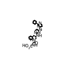 CN(c1ccnc(NC(CNC(=O)CNC(=O)O)Cc2ccccc2)n1)c1ccnc(-c2ccccc2)n1